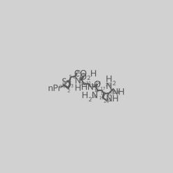 CCCc1ccc(CC(NC(=O)CCNC(=O)C(N)CC2=CCNC2C(=N)N)C(=O)O)s1